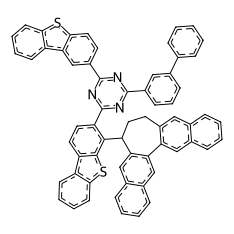 c1ccc(-c2cccc(-c3nc(-c4ccc5sc6ccccc6c5c4)nc(-c4ccc5c(sc6ccccc65)c4C4CCc5cc6ccccc6cc5-c5cc6ccccc6cc54)n3)c2)cc1